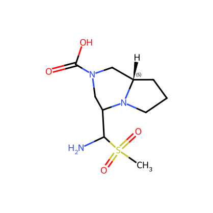 CS(=O)(=O)C(N)C1CN(C(=O)O)C[C@@H]2CCCN12